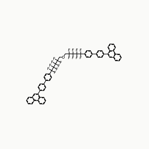 FC(F)(COCC(F)(F)C(F)(F)C(F)(F)C(F)(F)c1ccc(-c2ccc(-c3cc4ccccc4c4ccccc34)cc2)cc1)C(F)(F)C(F)(F)C(F)(F)c1ccc(-c2ccc(-c3cc4ccccc4c4ccccc34)cc2)cc1